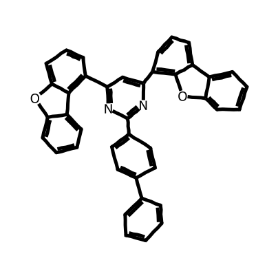 c1ccc(-c2ccc(-c3nc(-c4cccc5c4oc4ccccc45)cc(-c4cccc5oc6ccccc6c45)n3)cc2)cc1